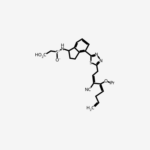 C=CC/C=C(OC(C)C)\C(C#N)=C/Cc1nnc(-c2cccc3c2CCC3N[S+]([O-])CC(=O)O)s1